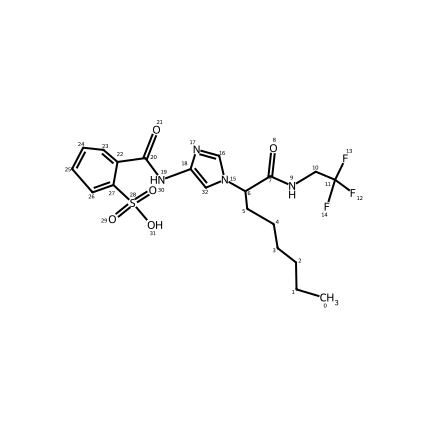 CCCCCCC(C(=O)NCC(F)(F)F)n1cnc(NC(=O)c2ccccc2S(=O)(=O)O)c1